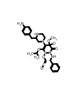 COC1(Cl)C(=O)N(NCc2ccccc2)N(OC=C=O)C(OC(C)C)=C1N1CCNC(Cc2ccc(N)cc2)C1